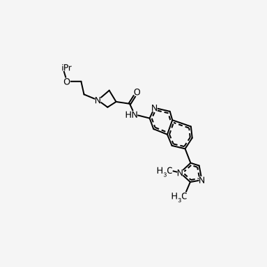 Cc1ncc(-c2ccc3cnc(NC(=O)C4CN(CCOC(C)C)C4)cc3c2)n1C